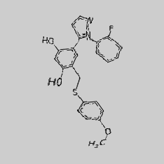 COc1ccc(SCc2cc(-c3ccnn3-c3ccccc3F)c(O)cc2O)cc1